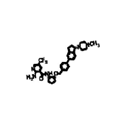 CN1CCN([C@H]2CCc3cc(-c4ccc(CO[C@H]5CCC[C@@H]5NC(=O)c5cc(C(F)(F)F)cnc5N)cc4)ccc32)CC1